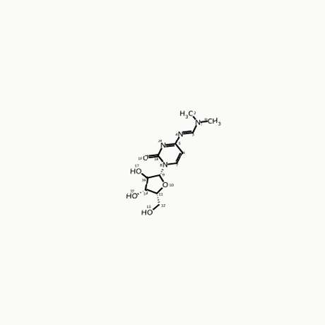 CN(C)/C=N/c1ccn([C@@H]2O[C@H](CO)[C@H](O)C2O)c(=O)n1